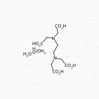 O.O.O.O=C(O)CN(CCN(CC(=O)O)CC(=O)O)CC(=O)O